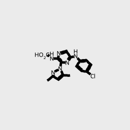 Cc1cc(C)n(-c2nc(Nc3ccc(Cl)cc3)cnc2NC(=O)O)n1